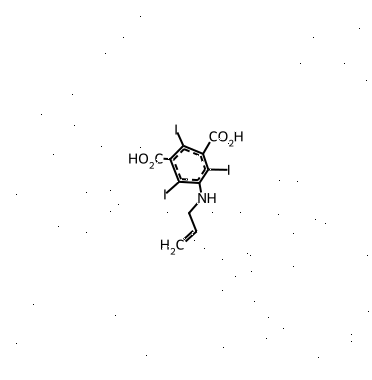 C=CCNc1c(I)c(C(=O)O)c(I)c(C(=O)O)c1I